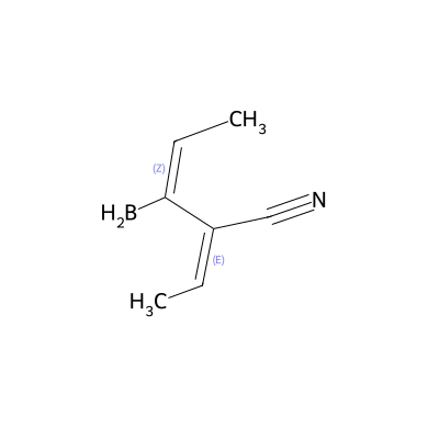 BC(=C/C)/C(C#N)=C\C